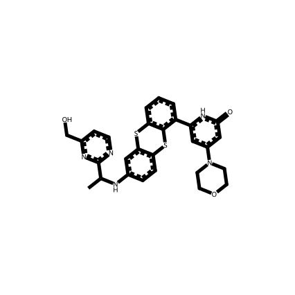 CC(Nc1ccc2c(c1)Sc1cccc(-c3cc(N4CCOCC4)cc(=O)[nH]3)c1S2)c1nccc(CO)n1